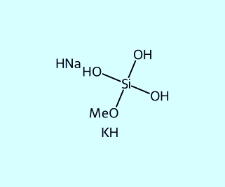 CO[Si](O)(O)O.[KH].[NaH]